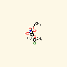 CCCCOC(=O)c1nc(O)c2ccc(Oc3c(C)cc(Cl)cc3C)cc2c1O